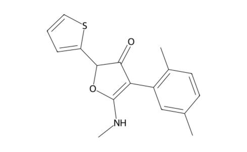 CNC1=C(c2cc(C)ccc2C)C(=O)C(c2cccs2)O1